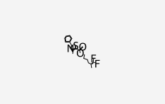 CC(CCCCOC(=O)c1sc(-c2ccccc2)nc1C)=C(F)F